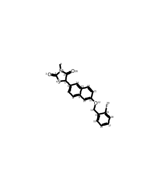 CN1C(=O)SC(c2ccc3cc(OCc4ccccc4F)ccc3c2)C1=O